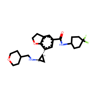 O=C(NC1CCC(F)(F)CC1)c1cc2c(c([C@@H]3C[C@H]3NCC3CCOCC3)c1)OCC2